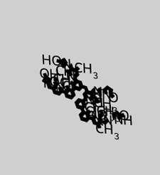 COc1nc(-c2cccc(-c3cc(Cc4cc(-c5cccc(-c6cccc(-c7cc(C)c(CNC[C@@H]8CCC(=O)N8)c(OC)n7)c6Cl)c5Cl)nc(OC)c4CNC[C@@H]4CCC(=O)N4)cc(-c4cc(C)c(CN5CC(O)C5)c(Cl)n4)c3Cl)c2Cl)ccc1CN1CC(O)C1